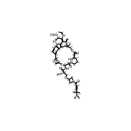 C=C/C(=C(\N=C/C)[C@H](C)OC)c1c2c3cc(ccc3n1CC)-c1nc(co1)C[C@H](NC(=O)[C@@H](COC1CN(C(=O)C#CC(C)(C)N(C)C)C1)C(C)C)C(=O)N1CCC[C@H](N1)C(=O)OCC(C)(C)C2